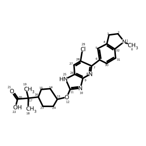 CN1CCc2cc(-c3nc4nc(OC5CCC(C(C)(C)C(=O)O)CC5)[nH]c4cc3Cl)ccc21